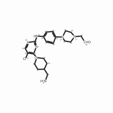 NCC1CCN(c2nc(Nc3ccc(N4CCN(CC=O)CC4)cc3)ncc2Cl)CC1